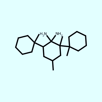 CC1CC(C2(C)CCCCC2)C(N)(N)C(C)(C2(C)CCCCC2)C1